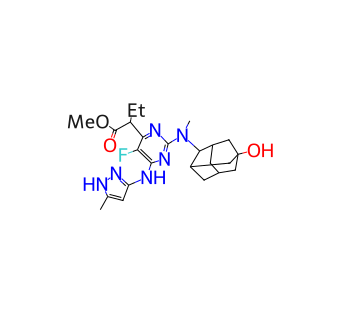 CCC(C(=O)OC)c1nc(N(C)C2C3CC4CC2CC(O)(C4)C3)nc(Nc2cc(C)[nH]n2)c1F